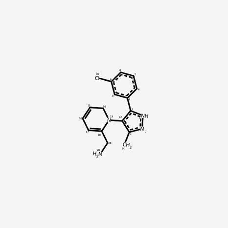 Cc1n[nH]c(-c2cccc(Cl)c2)c1N1CC=CC=C1CN